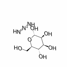 N=[N+]=N.OC[C@H]1O[C@H](O)[C@@H](O)[C@@H](O)[C@@H]1O